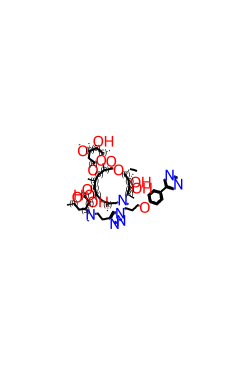 CC[C@H]1OC(=O)[C@H](C)[C@@H](O[C@H]2C[C@@](C)(OC)[C@@H](O)[C@H](C)O2)[C@H](C)[C@@H](O[C@@H]2O[C@H](C)C[C@H](N(C)CCc3cn(CCCOc4ccc(-c5cncnc5)cc4)nn3)[C@H]2O)[C@](C)(O)C[C@@H](C)CN(C)[C@H](C)[C@@H](O)[C@]1(C)O